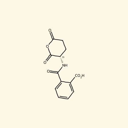 O=C1CC[C@H](NC(=O)c2ccccc2C(=O)O)C(=O)O1